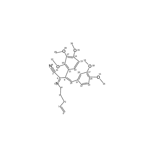 C=CCCC/N=C(C#N)\C(=C\c1ccc(OC)c(OC)c1)c1ccc(OC)c(OC)c1OC